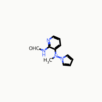 CN(c1cccnc1NC=O)n1cccc1